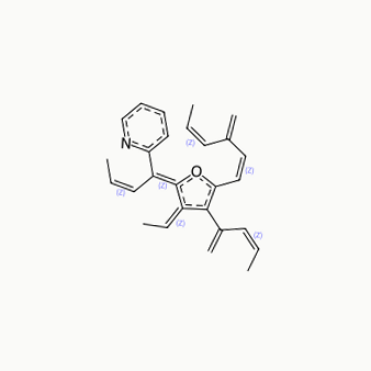 C=C(/C=C\C)/C=C\c1oc(=C(/C=C\C)c2ccccn2)/c(=C\C)c1C(=C)/C=C\C